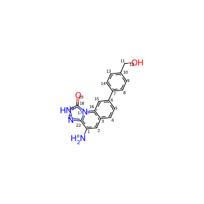 Nc1cc2ccc(-c3ccc(CO)cc3)cc2n2c(=O)[nH]nc12